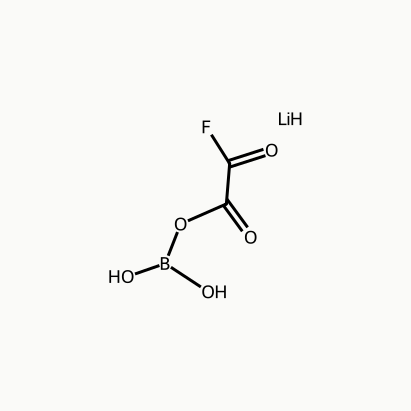 O=C(F)C(=O)OB(O)O.[LiH]